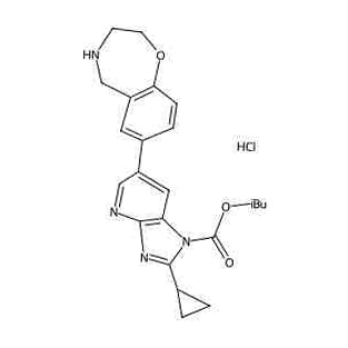 CCC(C)OC(=O)n1c(C2CC2)nc2ncc(-c3ccc4c(c3)CNCCO4)cc21.Cl